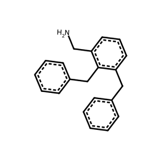 NCc1cccc(Cc2ccccc2)c1Cc1ccccc1